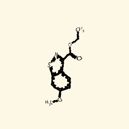 CCOC(=O)c1nsc2cc(OC)ccc12